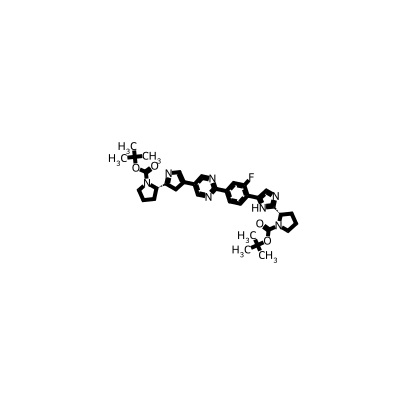 CC(C)(C)OC(=O)N1CCC[C@H]1C1=NC=C(c2cnc(-c3ccc(-c4cnc([C@@H]5CCCN5C(=O)OC(C)(C)C)[nH]4)c(F)c3)nc2)C1